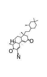 C[C@@H]1C(=O)C(C#N)=C[C@]2(C)C3=CC(=O)C[C@@](C)(CCC4CCC(C)(C)C[C@@H]4C)[C@]3(C)CC[C@@H]12